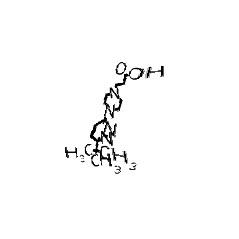 CC(C)(C)c1ccc(N2CCN(CCC(=O)O)CC2)nn1